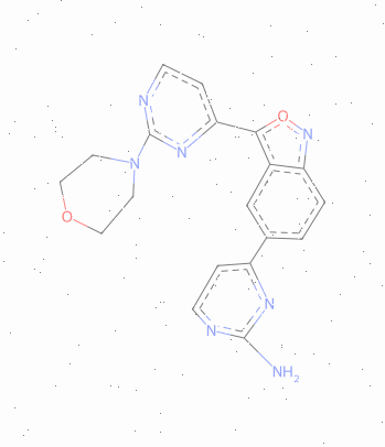 Nc1nccc(-c2ccc3noc(-c4ccnc(N5CCOCC5)n4)c3c2)n1